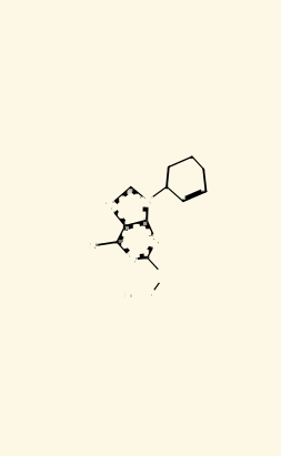 CCCCCCOc1nc(N)c2ncn(C3C=CCCC3)c2n1